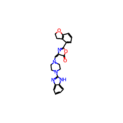 O=C1OC(c2cccc3c2CCO3)=N/C1=C/N1CCN(c2nc3ccccc3[nH]2)CC1